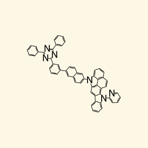 c1ccc(-c2nc(-c3ccccc3)nc(-c3cccc(-c4ccc5cc(-n6c7cccc8ccc9c(c87)c6cc6c7ccccc7n(-c7ccccn7)c69)ccc5c4)c3)n2)cc1